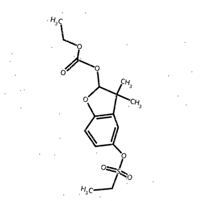 CCOC(=O)OC1Oc2ccc(OS(=O)(=O)CC)cc2C1(C)C